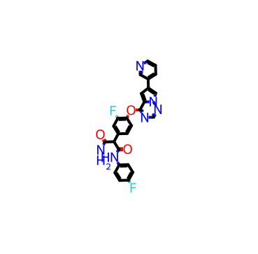 NC(=O)C(C(=O)Nc1ccc(F)cc1)c1ccc(Oc2ncnn3cc(-c4cccnc4)cc23)c(F)c1